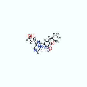 COc1cc(C2=NC(C3CC(C)(O)C3)=C3C=NC=C[N+]23N)ccc1Oc1ccccc1C